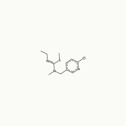 CCN=C(SC)N(C)Cc1ccc(Cl)nc1